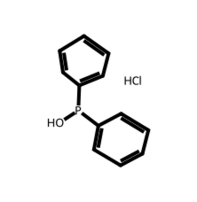 Cl.OP(c1ccccc1)c1ccccc1